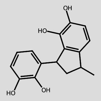 CC1CC(c2cccc(O)c2O)c2c1ccc(O)c2O